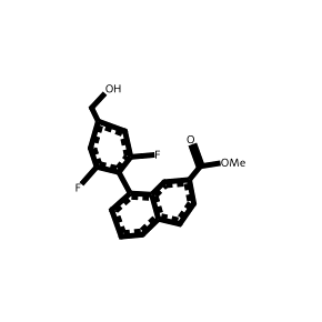 COC(=O)c1ccc2cccc(-c3c(F)cc(CO)cc3F)c2c1